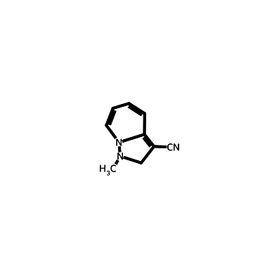 CN1CC(C#N)=C2C=CC=CN21